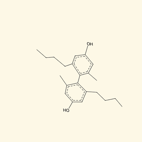 CCCCc1cc(O)cc(C)c1-c1c(C)cc(O)cc1CCCC